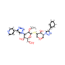 COC1C(SC2COCC(n3cc(-c4ccccc4)nn3)C2O)OC(CO)C(O)C1n1cc(-c2ccncc2)nn1